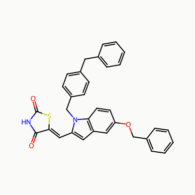 O=C1NC(=O)C(=Cc2cc3cc(OCc4ccccc4)ccc3n2Cc2ccc(Cc3ccccc3)cc2)S1